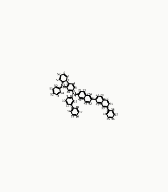 C1=CC2c3ccc(N(c4cccc(-c5ccccc5)c4)c4ccc5cc(-c6ccc7ccc(-c8ccccc8)cc7c6)ccc5c4)cc3N(c3ccccc3)C2C=C1